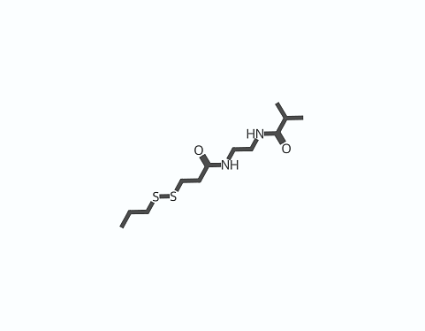 CCCSSCCC(=O)NCCNC(=O)C(C)C